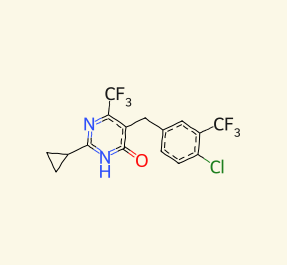 O=c1[nH]c(C2CC2)nc(C(F)(F)F)c1Cc1ccc(Cl)c(C(F)(F)F)c1